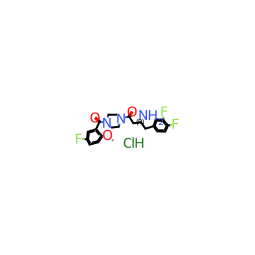 COc1ccc(F)cc1C(=O)N1CCN(C(=O)C[C@H](N)Cc2ccc(F)c(F)c2)CC1.Cl